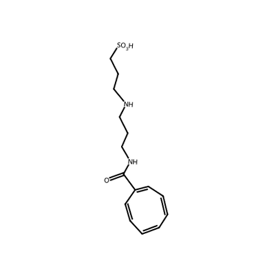 O=C(NCCCNCCCS(=O)(=O)O)C1=CC=CC=CC=C1